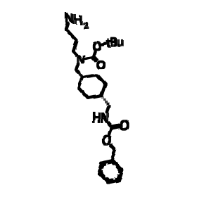 CC(C)(C)OC(=O)N(CCCN)C[C@H]1CC[C@H](CNC(=O)OCc2ccccc2)CC1